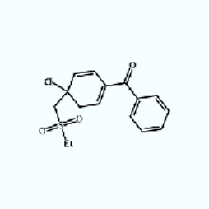 CCS(=O)(=O)CC1(Cl)C=CC(C(=O)c2ccccc2)=CC1